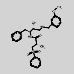 COc1cccc(CNC[C@@H](O)[C@H](Cc2ccccc2)NC(=O)[C@H](C)CS(=O)(=O)c2ccccc2)c1